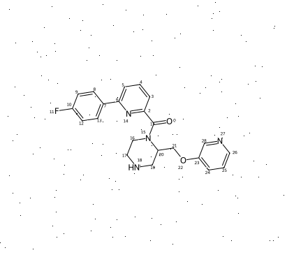 O=C(c1cccc(-c2ccc(F)cc2)n1)N1CCNCC1COc1cccnc1